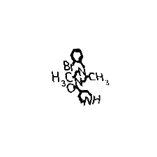 CC1CN(C(=O)C2CCNCC2)C(C)CN1Cc1ccccc1Br